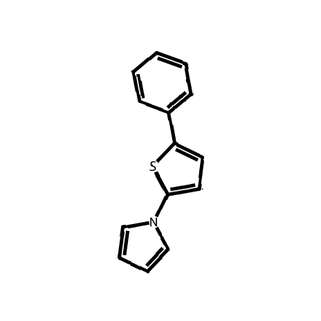 [c]1cc(-c2ccccc2)sc1-n1cccc1